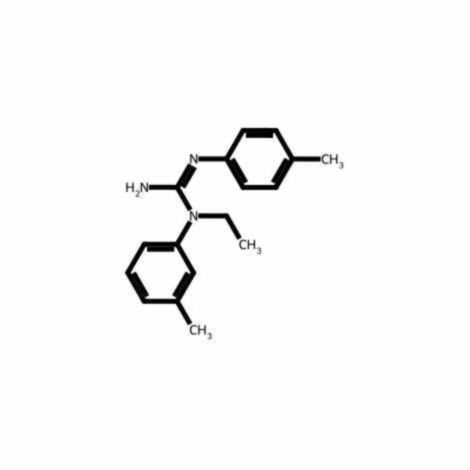 CCN(C(N)=Nc1ccc(C)cc1)c1cccc(C)c1